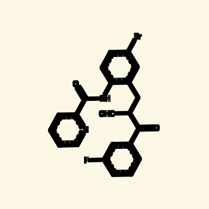 O=CC(Cc1cc(Br)ccc1NC(=O)c1ccccn1)C(=O)c1cccc(F)c1